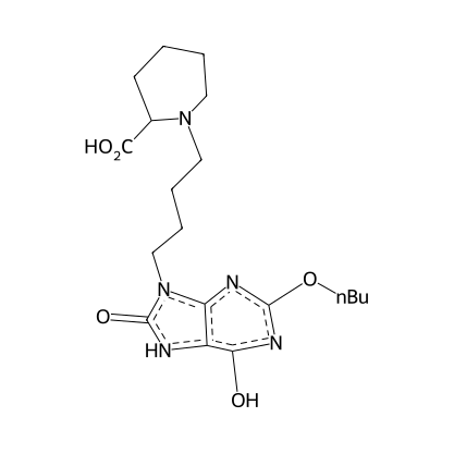 CCCCOc1nc(O)c2[nH]c(=O)n(CCCCN3CCCCC3C(=O)O)c2n1